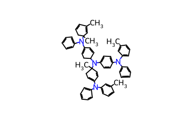 CC1=CC(C)(N(C2=CCC(N(c3ccc(N(c4ccccc4)c4cccc(C)c4)cc3)C3(C)C=CC(N(c4ccccc4)c4cccc(C)c4)=CC3)C=C2)c2ccccc2)CC=C1